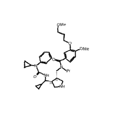 COCCCOc1cc(C(=O)N(C[C@@H]2CNC[C@H]2C(NC(=O)N(c2ccccc2)C2CC2)C2CC2)C(C)C)ccc1OC